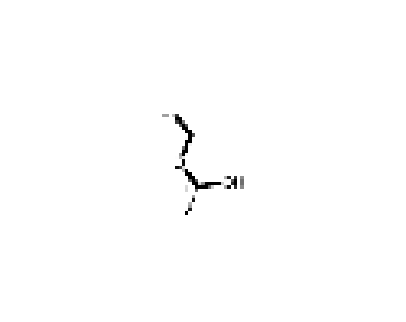 CCCO[C@@H](C)O